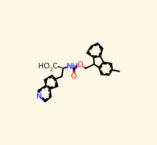 Cc1ccc2c(c1)-c1ccccc1C2COC(=O)N[C@@H](Cc1ccc2cnccc2c1)C(=O)O